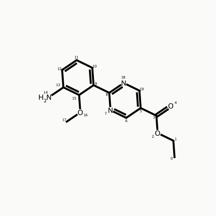 CCOC(=O)c1cnc(-c2cccc(N)c2OC)nc1